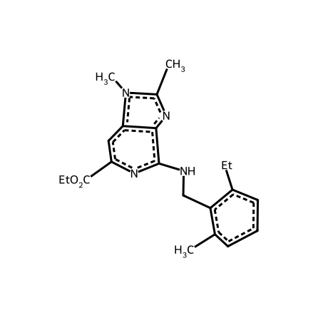 CCOC(=O)c1cc2c(nc(C)n2C)c(NCc2c(C)cccc2CC)n1